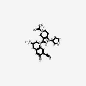 CC(=O)N1CCc2c(c(N3CC(C)Cc4cc(Br)c(C#N)cc43)nn2[C@H]2CCOC2)C1